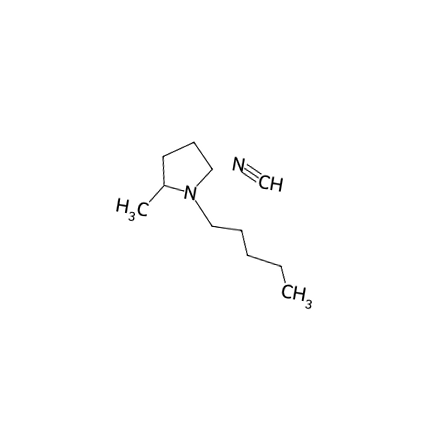 C#N.CCCCCN1CCCC1C